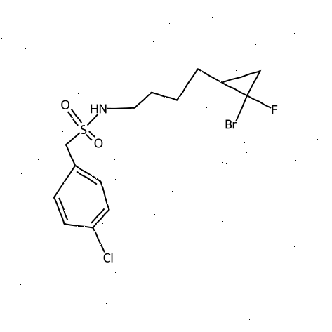 O=S(=O)(Cc1ccc(Cl)cc1)NCCCCC1CC1(F)Br